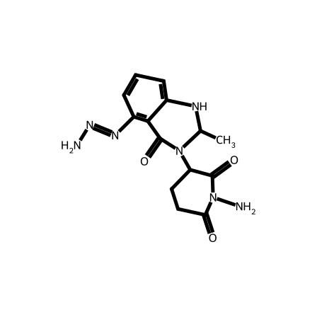 CC1Nc2cccc(N=NN)c2C(=O)N1C1CCC(=O)N(N)C1=O